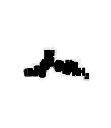 CC(C)(C)OC(=O)N1CCC2(CC1)CC(F)(F)CN2C[C@@H]1CC[C@H](c2ccc3c(N)ncnn23)O1